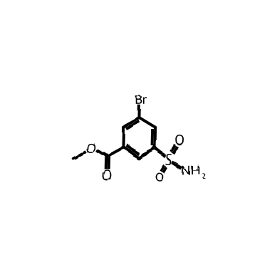 COC(=O)c1cc(Br)cc(S(N)(=O)=O)c1